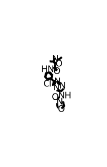 Cc1nc(C)c(C(=O)Nc2ccc(Cl)c(-c3cn4cc(NC(=O)N5CCOCC5)cnc4n3)c2)o1